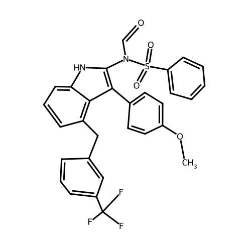 COc1ccc(-c2c(N(C=O)S(=O)(=O)c3ccccc3)[nH]c3cccc(Cc4cccc(C(F)(F)F)c4)c23)cc1